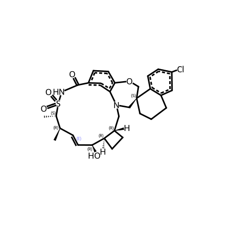 C[C@@H]1/C=C/[C@H](O)[C@@H]2CC[C@H]2CN2C[C@@]3(CCCc4cc(Cl)ccc43)COc3ccc(cc32)C(=O)NS(=O)(=O)[C@H]1C